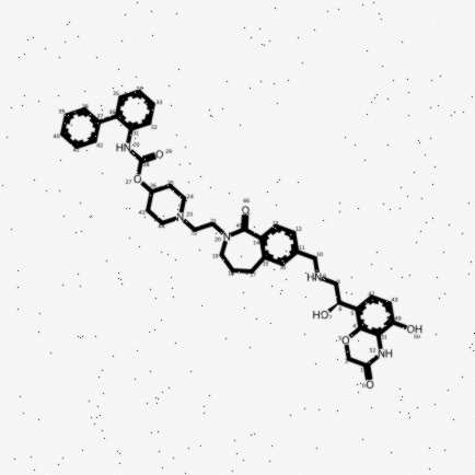 O=C1COc2c([C@@H](O)CNCc3ccc4c(c3)CCCN(CCN3CCC(OC(=O)Nc5ccccc5-c5ccccc5)CC3)C4=O)ccc(O)c2N1